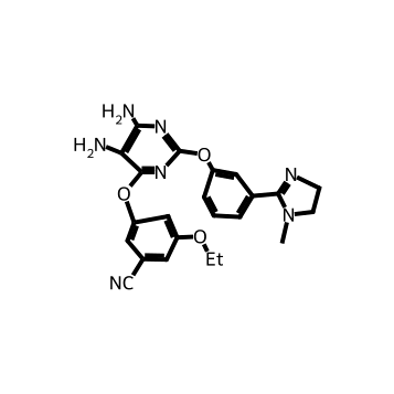 CCOc1cc(C#N)cc(Oc2nc(Oc3cccc(C4=NCCN4C)c3)nc(N)c2N)c1